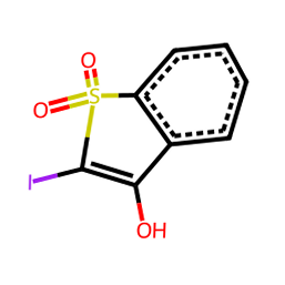 O=S1(=O)C(I)=C(O)c2ccccc21